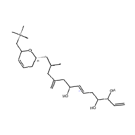 C=CC(O)C(O)C/C=C/C(O)CC(=C)CC(C)C[C@@H]1CC=CC(C[Si](C)(C)C)O1